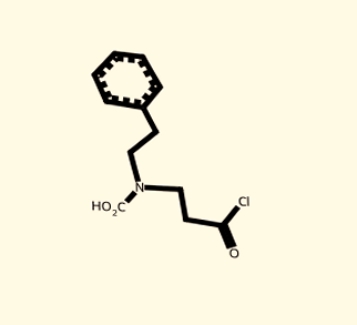 O=C(Cl)CCN(CCc1ccccc1)C(=O)O